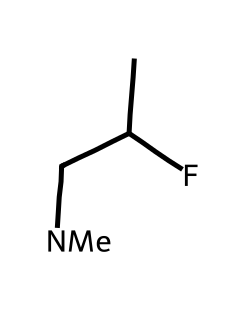 CNCC(C)F